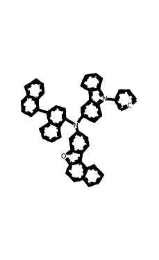 c1ccc(-n2c3ccccc3c3cc(N(c4ccc5c(c4)oc4ccc6ccccc6c45)c4ccc(-c5cccc6ccccc56)c5ccccc45)ccc32)cc1